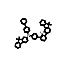 CC1(C)c2ccccc2-c2ccc(N(c3ccc(-c4ccccc4)cc3)c3ccc(-c4cccc5c4oc4c6c(ccc45)C(C)(C)c4ccccc4-6)cc3)cc21